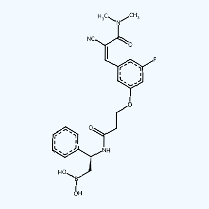 CN(C)C(=O)C(C#N)=Cc1cc(F)cc(OCCC(=O)N[C@@H](CB(O)O)c2ccccc2)c1